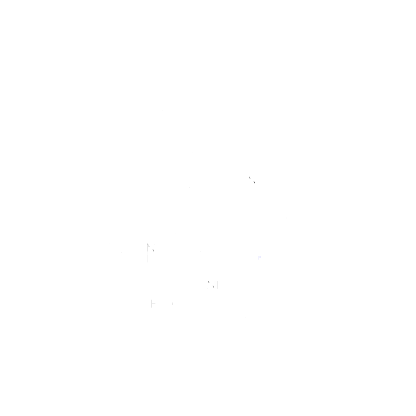 C=C(/C=C/CO)CN(Cc1ccc(F)cc1)c1ccc(NC(=O)OCC)c(NC(=O)OCC)c1